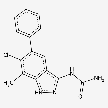 Cc1c(Cl)c(-c2ccccc2)cc2c(NC(N)=O)n[nH]c12